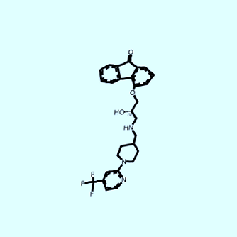 O=C1c2ccccc2-c2c(OC[C@@H](O)CNCC3CCN(c4cc(C(F)(F)F)ccn4)CC3)cccc21